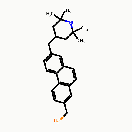 CC1(C)CC(Cc2ccc3c(ccc4cc(CP)ccc43)c2)CC(C)(C)N1